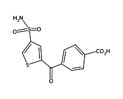 NS(=O)(=O)c1csc(C(=O)c2ccc(C(=O)O)cc2)c1